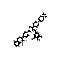 CS(=O)(=O)N1CCC(N2CCN(C(=O)[C@@H](Cc3cc(Br)c(O)c(Br)c3)OC(=O)N3CCC(N4CCc5ccccc5NC4=O)CC3)CC2)CC1